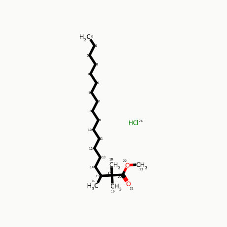 CCCCCCCCCCCCCCCC(C)C(C)(C)C(=O)OC.Cl